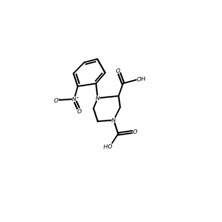 O=C(O)C1CN(C(=O)O)CCN1c1ccccc1[N+](=O)[O-]